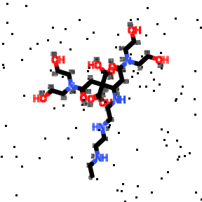 CCNCCNCCNC(CC(=O)N(CCO)CCO)C(CC(=O)N(CCO)CCO)(C(=O)O)C(=O)O